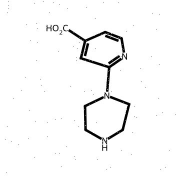 O=C(O)c1ccnc(N2CCNCC2)c1